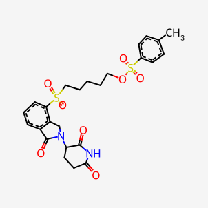 Cc1ccc(S(=O)(=O)OCCCCCS(=O)(=O)c2cccc3c2CN(C2CCC(=O)NC2=O)C3=O)cc1